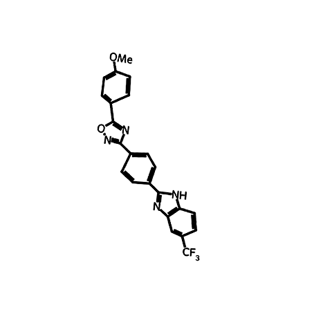 COc1ccc(-c2nc(-c3ccc(-c4nc5cc(C(F)(F)F)ccc5[nH]4)cc3)no2)cc1